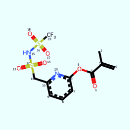 C=C(C)C(=O)Oc1cccc(CS(=O)(=O)NS(=O)(=O)C(F)(F)F)n1